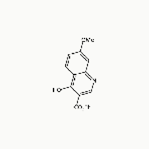 CCOC(=O)c1cnc2cc(OC)ccc2c1O